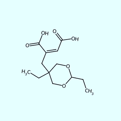 CCC1OCC(CC)(CC(=CC(=O)O)C(=O)O)CO1